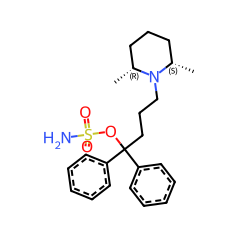 C[C@@H]1CCC[C@H](C)N1CCCC(OS(N)(=O)=O)(c1ccccc1)c1ccccc1